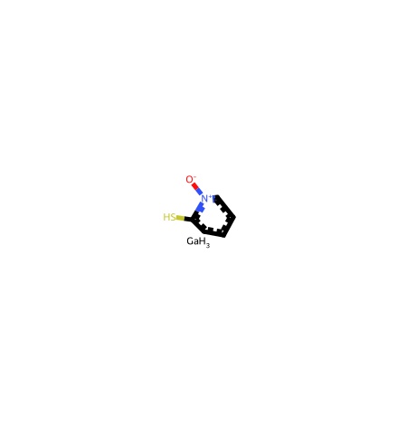 [GaH3].[O-][n+]1ccccc1S